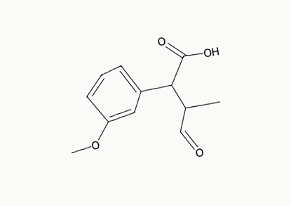 COc1cccc(C(C(=O)O)C(C)C=O)c1